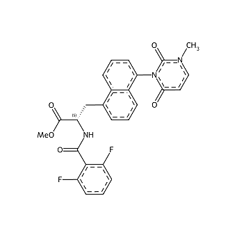 COC(=O)[C@H](Cc1cccc2c(-n3c(=O)ccn(C)c3=O)cccc12)NC(=O)c1c(F)cccc1F